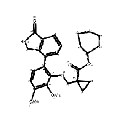 COc1ccc(-c2cccc3c2CNC3=O)c(OCC2(C(=O)OC3CCCCC3)CC2)c1OC